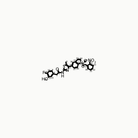 Cc1sc(NC(=O)Cc2ccc(F)c(O)c2)nc1-c1ccc2c(ccn2S(=O)(=O)c2ccccc2[N+](=O)[O-])c1